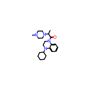 CC(C(=O)N1CCN(C2CCCCC2)c2ccccc21)N1CCN(C)CC1